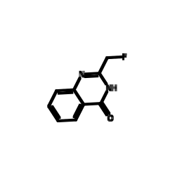 O=c1[nH]c(CF)nc2ccccc12